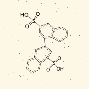 O=S(=O)(O)c1cc(-c2[c]c3ccccc3c(S(=O)(=O)O)c2)c2ccccc2c1